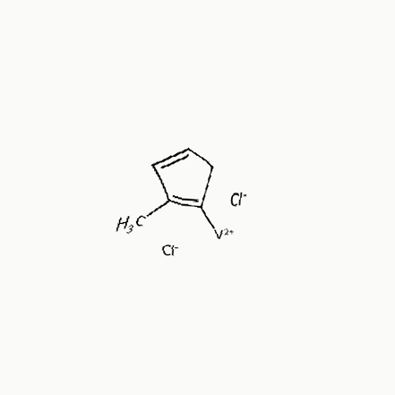 CC1=[C]([V+2])CC=C1.[Cl-].[Cl-]